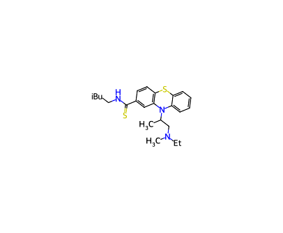 CCC(C)CNC(=S)c1ccc2c(c1)N(C(C)CN(C)CC)c1ccccc1S2